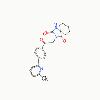 N#Cc1cccc(-c2ccc(C(=O)CN3C(=O)NC4(CCCCC4)C3=O)cc2)n1